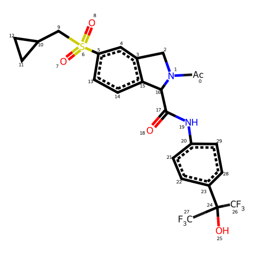 CC(=O)N1Cc2cc(S(=O)(=O)CC3CC3)ccc2C1C(=O)Nc1ccc(C(O)(C(F)(F)F)C(F)(F)F)cc1